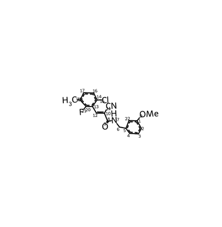 COc1cccc(CNC(=O)/C(C#N)=C/c2c(Cl)ccc(C)c2F)c1